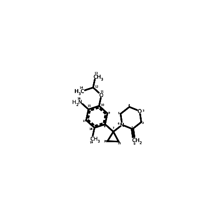 C=C1COCCN1C1(c2cc(OC(C)C)c(N)cc2C)CC1